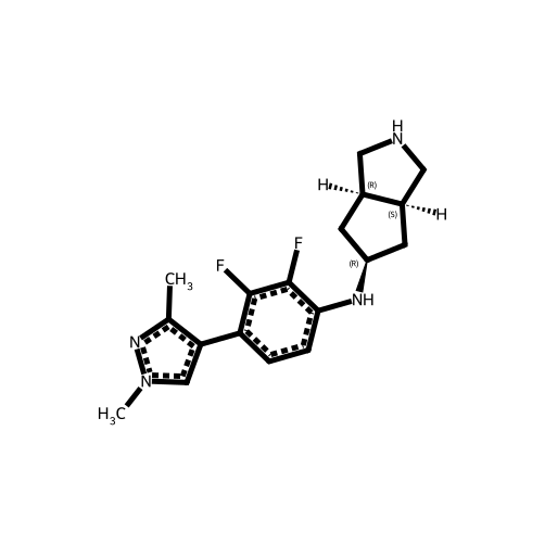 Cc1nn(C)cc1-c1ccc(N[C@H]2C[C@H]3CNC[C@H]3C2)c(F)c1F